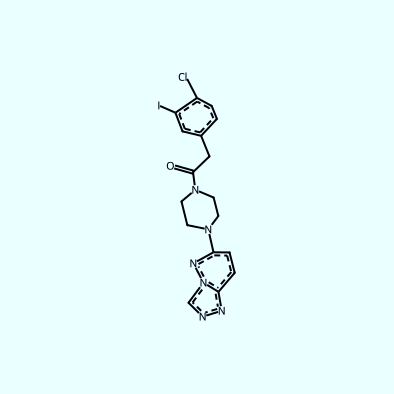 O=C(Cc1ccc(Cl)c(I)c1)N1CCN(c2ccc3nncn3n2)CC1